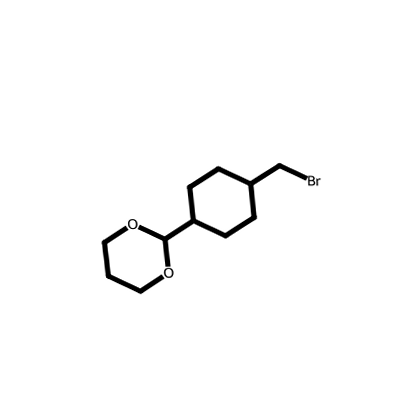 BrCC1CCC(C2OCCCO2)CC1